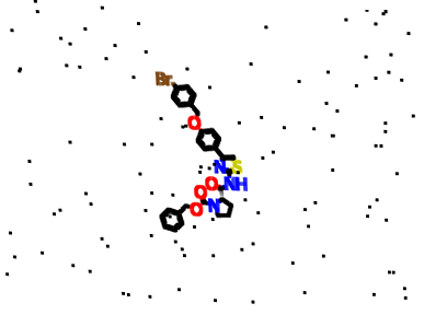 O=C(Nc1nc(-c2ccc(OCc3ccc(Br)cc3)cc2)cs1)[C@@H]1CCCN1C(=O)OCc1ccccc1